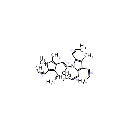 C=Cc1c(/C=C(\C)n2c(/C=C\C)c(C)c(/C=C\C)c2/C=C\C)c(C)n(C)c1/C=C\C